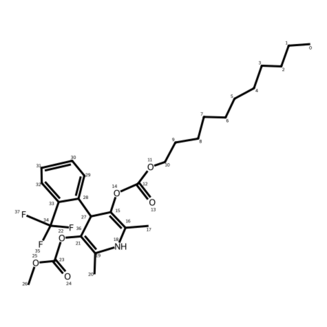 CCCCCCCCCCCOC(=O)OC1=C(C)NC(C)=C(OC(=O)OC)C1c1ccccc1C(F)(F)F